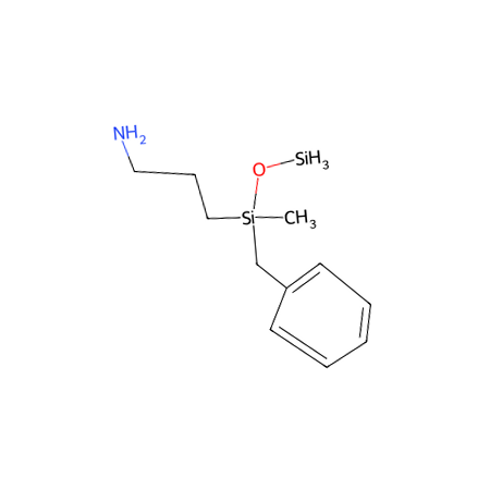 C[Si](CCCN)(Cc1ccccc1)O[SiH3]